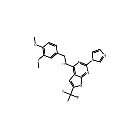 COc1ccc(CNc2nc(-n3ccnc3)nc3sc(C(F)(F)F)cc23)cc1OC